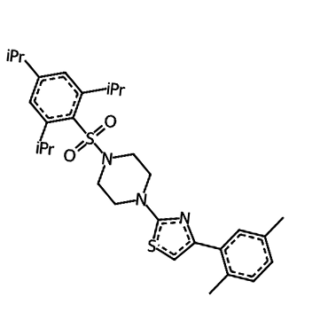 Cc1ccc(C)c(-c2csc(N3CCN(S(=O)(=O)c4c(C(C)C)cc(C(C)C)cc4C(C)C)CC3)n2)c1